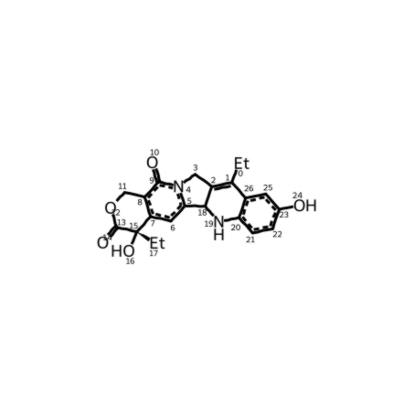 CCC1=C2Cn3c(cc4c(c3=O)COC(=O)[C@]4(O)CC)C2Nc2ccc(O)cc21